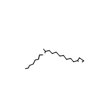 CCCCCCCCCCCCCCCCOC(CCCCCCCC)CCCCCCCCC1CCO1